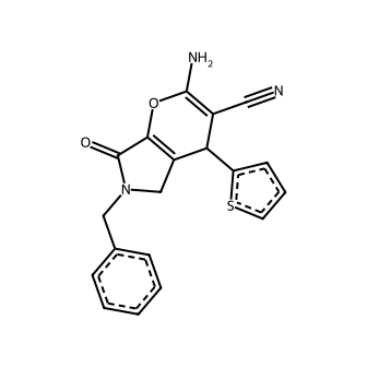 N#CC1=C(N)OC2=C(CN(Cc3ccccc3)C2=O)C1c1cccs1